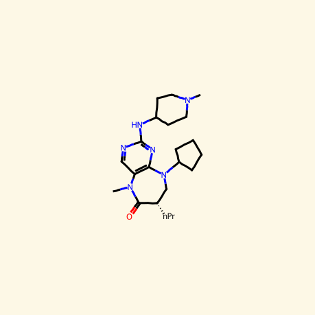 CCC[C@H]1CN(C2CCCC2)c2nc(NC3CCN(C)CC3)ncc2N(C)C1=O